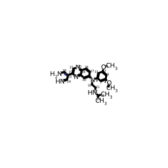 COc1cc(OC)cc(N(CCNC(C)C)c2ccc3ncc(/C(C=N)=C/N)nc3c2)c1